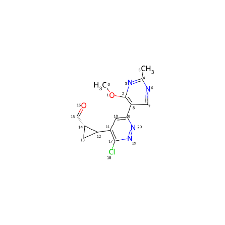 COc1nc(C)ncc1-c1cc(C2C[C@@H]2C=O)c(Cl)nn1